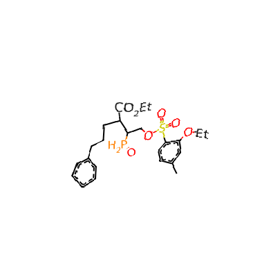 CCOC(=O)C(CCCc1ccccc1)C(COS(=O)(=O)c1ccc(C)cc1OCC)[PH2]=O